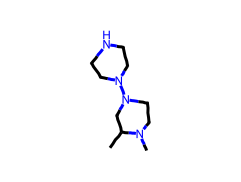 CC1CN(N2CCNCC2)CCN1C